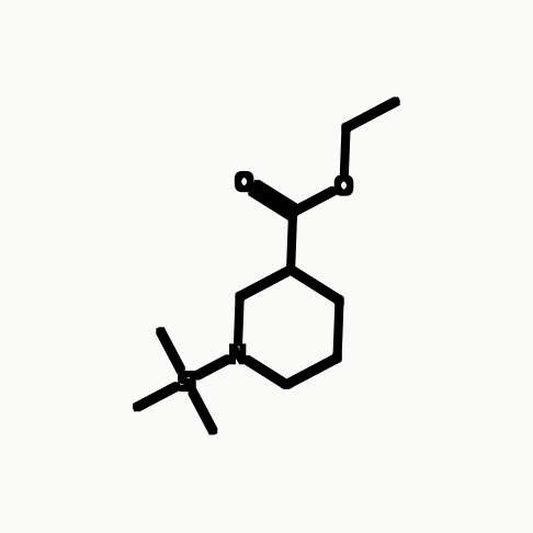 CCOC(=O)C1CCCN([Si](C)(C)C)C1